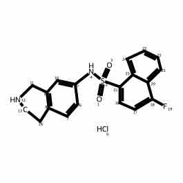 Cl.O=S(=O)(Nc1ccc2c(c1)CNCC2)c1ccc(F)c2ccccc12